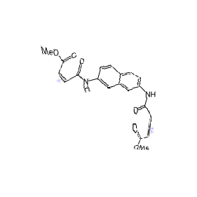 COC(=O)/C=C\C(=O)Nc1ccc2ccc(NC(=O)/C=C\C(=O)OC)cc2c1